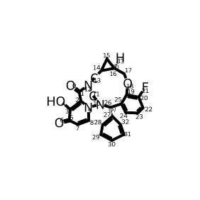 O=C1c2c(O)c(=O)ccn2N2CN1CC1C[C@H]1COc1c(F)cccc1[C@@H]2c1ccccc1